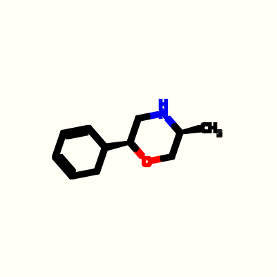 C[C@H]1CO[C@@H](C2C=CC=CC2)CN1